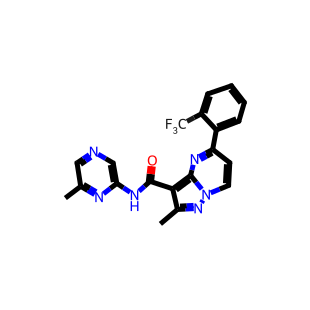 Cc1cncc(NC(=O)c2c(C)nn3ccc(-c4ccccc4C(F)(F)F)nc23)n1